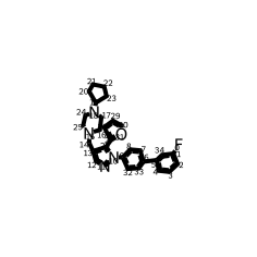 Fc1cccc(-c2ccc(-n3ncc(CN4CCN(C5CCCC5)CC4)c3-c3ccco3)cc2)c1